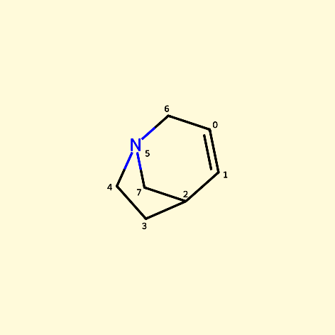 C1=CC2CCN(C1)C2